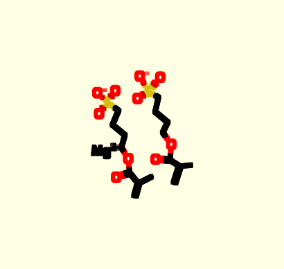 C=C(C)C(=O)OCCCCS(=O)(=O)[O-].C=C(C)C(=O)OCCCCS(=O)(=O)[O-].[Mg+2]